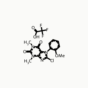 COc1ccccc1-n1c(Cl)nc2c1c(=O)n(C)c(=O)n2C.O=C(O)C(F)(F)F